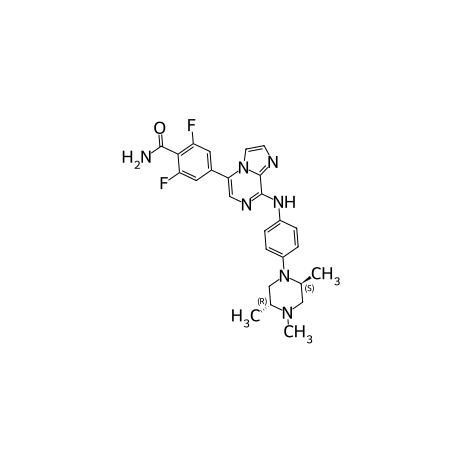 C[C@@H]1CN(c2ccc(Nc3ncc(-c4cc(F)c(C(N)=O)c(F)c4)n4ccnc34)cc2)[C@@H](C)CN1C